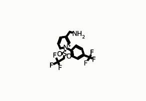 NCC1=C[N+](c2ccc(C(F)(F)F)cc2)(S(=O)(=O)CC(F)(F)F)CC=C1